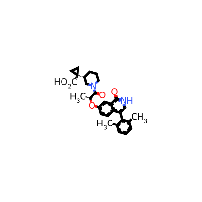 Cc1cccc(C)c1-c1c[nH]c(=O)c2cc(O[C@H](C)C(=O)N3CCC[C@@H](C4(C(=O)O)CC4)C3)ccc12